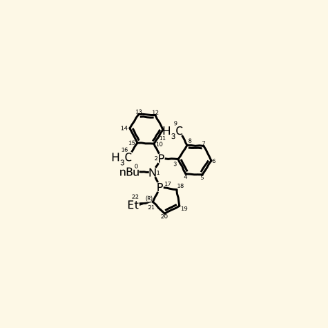 CCCCN(P(c1ccccc1C)c1ccccc1C)P1CC=C[C@H]1CC